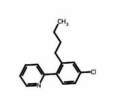 CCCCc1cc(Cl)ccc1-c1ccccn1